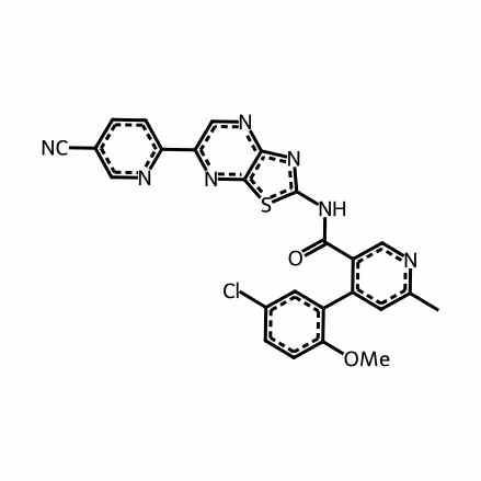 COc1ccc(Cl)cc1-c1cc(C)ncc1C(=O)Nc1nc2ncc(-c3ccc(C#N)cn3)nc2s1